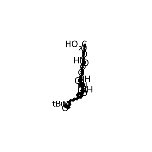 CC(CCCCc1ccc(S(=O)(=O)Nc2ncc(C(=O)NCCOCCOCC(=O)NCCOCCOCC(=O)O)cn2)cc1)CC(C)C(=O)OC(C)(C)C